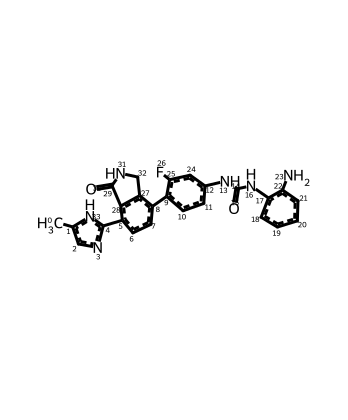 Cc1cnc(-c2ccc(-c3ccc(NC(=O)Nc4ccccc4N)cc3F)c3c2C(=O)NC3)[nH]1